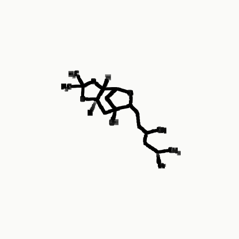 CC(C)[C@H](C)CC(O)CCC1OC2C[C@@]1(O)C[C@H]1OC(C)(C)O[C@H]21